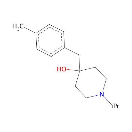 Cc1ccc(CC2(O)CCN(C(C)C)CC2)cc1